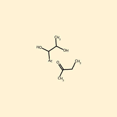 CC(=O)C(O)C(C)O.CCC(C)=O